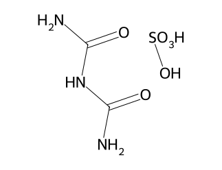 NC(=O)NC(N)=O.O=S(=O)(O)O